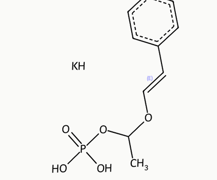 CC(O/C=C/c1ccccc1)OP(=O)(O)O.[KH]